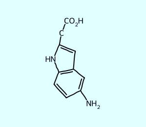 Nc1ccc2[nH]c(CC(=O)O)cc2c1